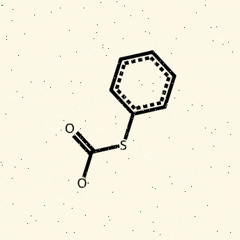 [O]C(=O)Sc1ccccc1